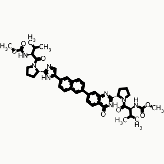 COC(=O)N[C@H](C(=O)N1CCC[C@H]1c1ncc(-c2ccc3cc(-c4ccc5c(=O)[nH]c([C@@H]6CCCN6C(=O)[C@@H](NC(=O)OC)C(C)C)nc5c4)ccc3c2)[nH]1)C(C)C